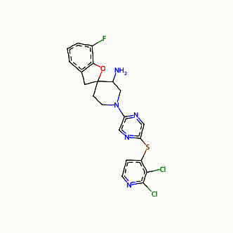 NC1CN(c2cnc(Sc3ccnc(Cl)c3Cl)cn2)CCC12Cc1cccc(F)c1O2